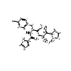 Cc1ccc(CC(NC(=O)c2ccco2)C(=O)CC(C)C(=O)N2CCC[C@H]2C(=O)O)cc1